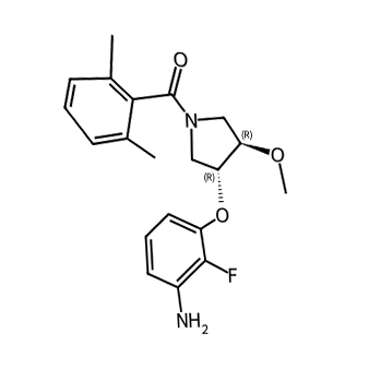 CO[C@@H]1CN(C(=O)c2c(C)cccc2C)C[C@H]1Oc1cccc(N)c1F